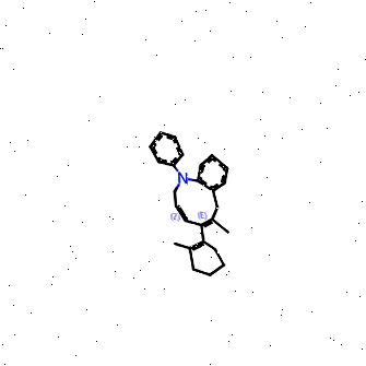 CC1=C(C2=C(\C)Cc3ccccc3N(c3ccccc3)C/C=C\2)CCCC1